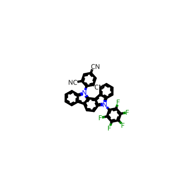 N#Cc1cc(C#N)c(-n2c3ccccc3c3ccc4c(c5ccccc5n4-c4c(F)c(F)c(F)c(F)c4F)c32)c(C#N)c1